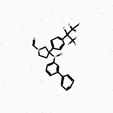 O=CN1CCC(c2ccc(C(F)(C(F)(F)F)C(F)(F)F)cc2)([S+]([O-])c2cccc(-c3ccccc3)c2)C1